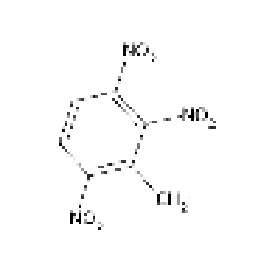 [CH2]c1c([N+](=O)[O-])ccc([N+](=O)[O-])c1[N+](=O)[O-]